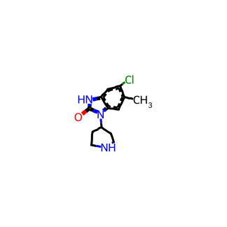 Cc1cc2c(cc1Cl)[nH]c(=O)n2C1CCNCC1